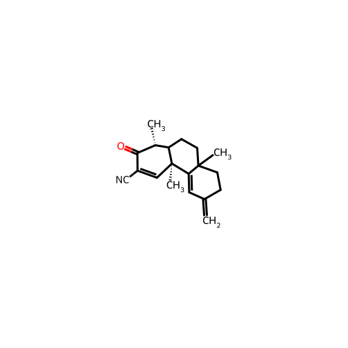 C=C1C=C2C(C)(CC1)CCC1[C@@H](C)C(=O)C(C#N)=C[C@]21C